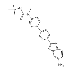 CN(C(=O)OC(C)(C)C)c1ccc(-c2ccc(-c3cn4cc(N)ccc4n3)cc2)cn1